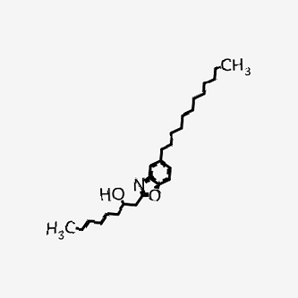 CCCCCCCCCCCCc1ccc2oc(CC(O)CCCCCC)nc2c1